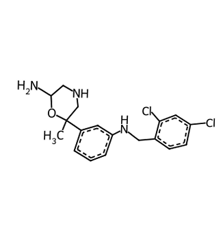 CC1(c2cccc(NCc3ccc(Cl)cc3Cl)c2)CNCC(N)O1